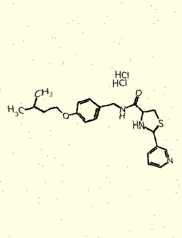 CC(C)CCOc1ccc(CNC(=O)C2CSC(c3cccnc3)N2)cc1.Cl.Cl